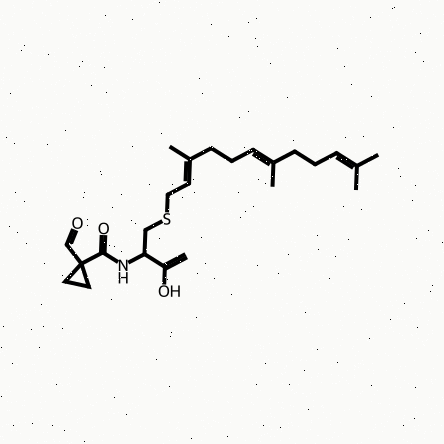 C=C(O)C(CSC/C=C(\C)CC/C=C(\C)CCC=C(C)C)NC(=O)C1(C=O)CC1